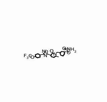 Cc1ccc(-c2nc(-c3ccc(OC(F)(F)F)cc3)no2)c(=O)n1Cc1cccc(S(N)(=O)=O)c1